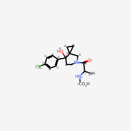 CC(C)C(NC(=O)O)C(=O)N1CCC(O)(c2ccc(Cl)cc2)C2(CC2)C1